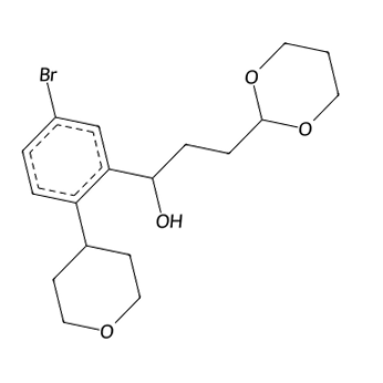 OC(CCC1OCCCO1)c1cc(Br)ccc1C1CCOCC1